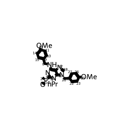 CCCP(C)(=O)c1nc(NCc2ccc(OC)cc2)c2ncn(Cc3ccc(OC)cc3)c2n1